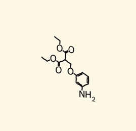 CCOC(=O)C(COc1cccc(N)c1)C(=O)OCC